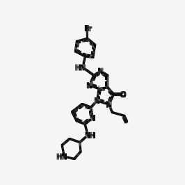 C=CCn1c(=O)c2cnc(Nc3ccc(Br)cc3)nc2n1-c1cccc(NC2CCNCC2)n1